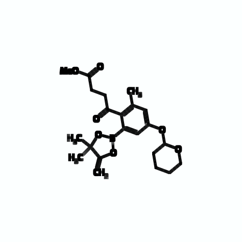 C=C1OB(c2cc(OC3CCCCO3)cc(C)c2C(=O)CCC(=O)OC)OC1(C)C